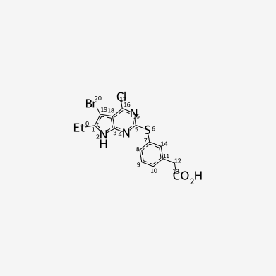 CCc1[nH]c2nc(Sc3cccc(CC(=O)O)c3)nc(Cl)c2c1Br